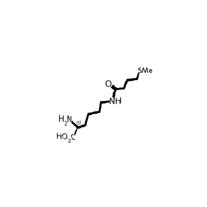 CSCCCC(=O)NCCCC[C@H](N)C(=O)O